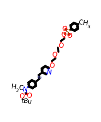 Cc1ccc(S(=O)(=O)OCCOCCOCCOc2ccc(/C=C/c3ccc(N(C)C(=O)OC(C)(C)C)cc3)cn2)cc1